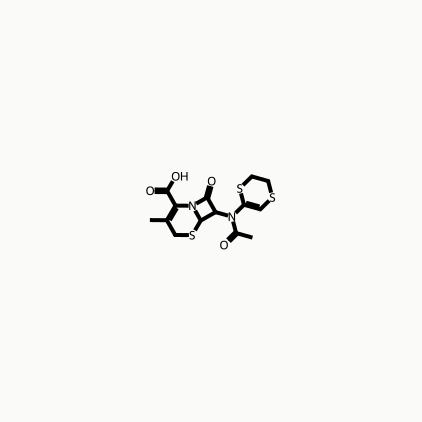 CC(=O)N(C1=CSCCS1)C1C(=O)N2C(C(=O)O)=C(C)CSC12